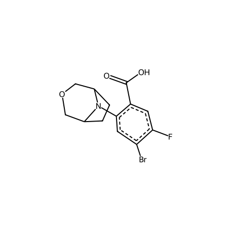 O=C(O)c1cc(F)c(Br)cc1N1C2CCC1COC2